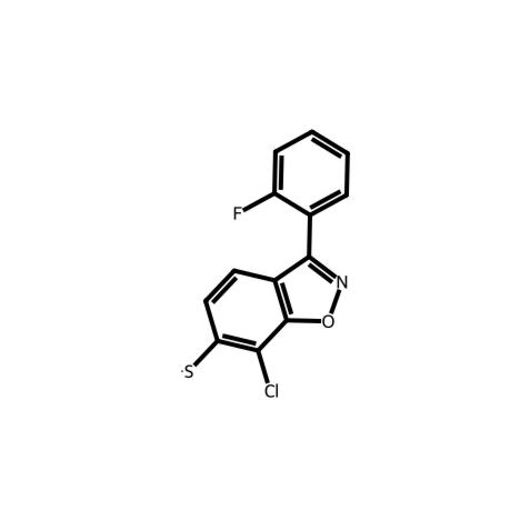 Fc1ccccc1-c1noc2c(Cl)c([S])ccc12